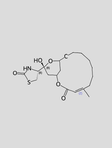 C/C1=C/C(=O)OC2CC(CCCCCCC1)O[C@@](O)([C@@H]1CSC(=O)N1)C2